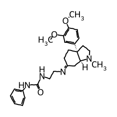 COc1ccc([C@@]23CC/C(=N\CCNC(=O)Nc4ccccc4)C[C@@H]2N(C)CC3)cc1OC